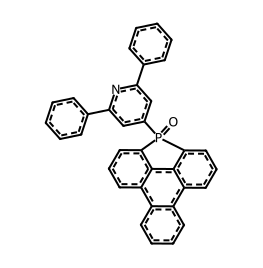 O=P1(c2cc(-c3ccccc3)nc(-c3ccccc3)c2)c2cccc3c4ccccc4c4cccc1c4c23